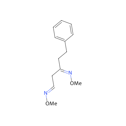 CON=CCC(CCc1ccccc1)=NOC